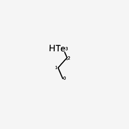 CC[CH][TeH]